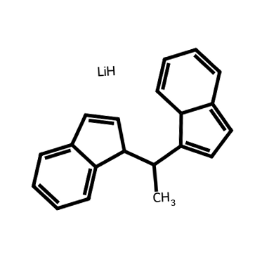 CC(C1=CC=C2C=CC=CC21)C1C=Cc2ccccc21.[LiH]